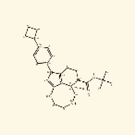 CC(C)(C)OC(=O)N1CCc2c3c(nn2-c2ccc(C4CCC4)cc2)OCCNC[C@@H]31